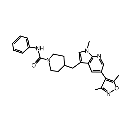 Cc1noc(C)c1-c1cnc2c(c1)c(CC1CCN(C(=O)Nc3ccccc3)CC1)cn2C